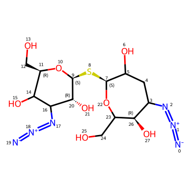 [N-]=[N+]=NC1CC(O)[C@H](S[C@@H]2O[C@H](CO)C(O)C(N=[N+]=[N-])[C@H]2O)OC(CO)[C@@H]1O